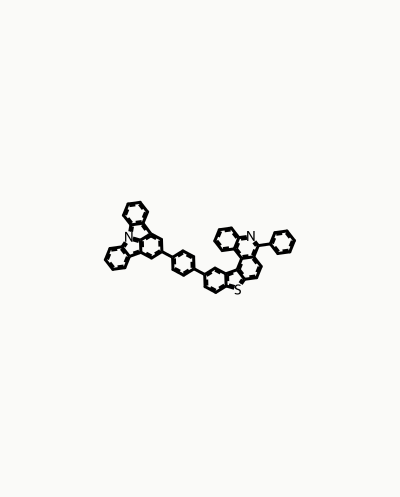 c1ccc(-c2nc3ccccc3c3c2ccc2sc4ccc(-c5ccc(-c6cc7c8ccccc8n8c9ccccc9c(c6)c78)cc5)cc4c23)cc1